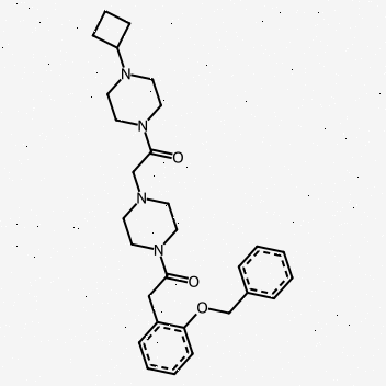 O=C(Cc1ccccc1OCc1ccccc1)N1CCN(CC(=O)N2CCN(C3CCC3)CC2)CC1